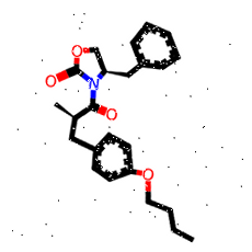 CCCCOc1ccc(C[C@@H](C)C(=O)N2C(=O)OC[C@H]2Cc2ccccc2)cc1